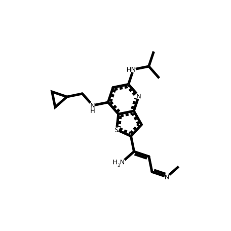 C/N=C\C=C(/N)c1cc2nc(NC(C)C)cc(NCC3CC3)c2s1